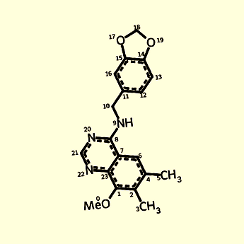 COc1c(C)c(C)cc2c(NCc3ccc4c(c3)OCO4)ncnc12